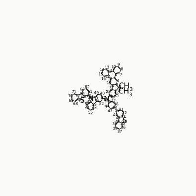 CC1(C)c2cc3c4ccccc4c4ccccc4c3cc2-c2cc3c(cc21)c1cc(-c2ccc4sc5ccccc5c4c2)ccc1n3-c1ccc2c(c1)c1ccccc1n2-c1cccc2c1sc1ccccc12